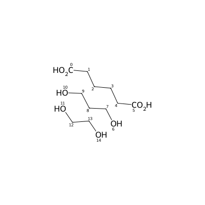 O=C(O)CCCCC(=O)O.OCCCO.OCCO